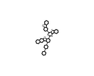 c1ccc(-c2ccc(-c3ccc(-c4nc(-c5ccc6oc7ccccc7c6c5)c5sc6ccccc6c5n4)c4oc5cc6ccccc6cc5c34)cc2)cc1